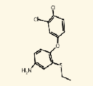 CCSc1cc(N)ccc1Oc1ccc(Cl)c(Cl)c1